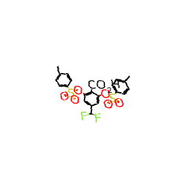 Cc1ccc(S(=O)(=O)Oc2cc(C(F)F)cc(OS(=O)(=O)c3ccc(C)cc3)c2C(=O)O)cc1